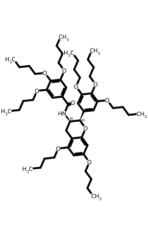 CCCCOc1cc(OCCCC)c2c(c1)O[C@H](c1cc(OCCCC)c(OCCCC)c(OCCCC)c1)[C@H](NC(=O)c1cc(OCCCC)c(OCCCC)c(OCCCC)c1)C2